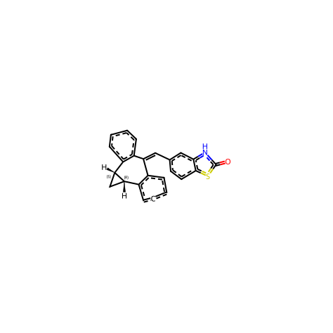 O=c1[nH]c2cc(C=C3c4ccccc4[C@H]4C[C@H]4c4ccccc43)ccc2s1